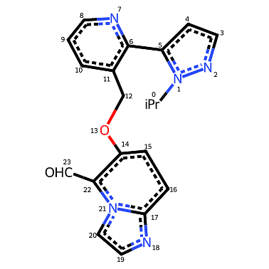 CC(C)n1nccc1-c1ncccc1COc1ccc2nccn2c1C=O